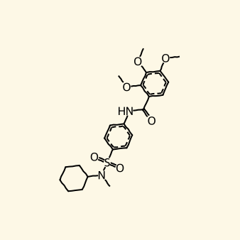 COc1ccc(C(=O)Nc2ccc(S(=O)(=O)N(C)C3CCCCC3)cc2)c(OC)c1OC